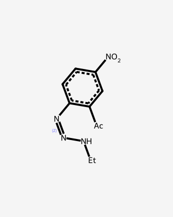 CCN/N=N\c1ccc([N+](=O)[O-])cc1C(C)=O